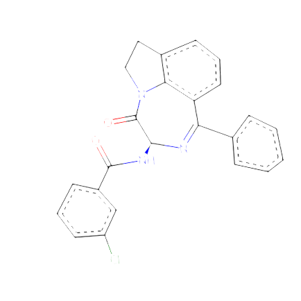 O=C(N[C@@H]1N=C(c2ccccc2)c2cccc3c2N(CC3)C1=O)c1cccc(Cl)c1